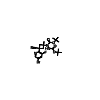 CC(C)(C)OC(=O)NN(C(=O)OC(C)(C)C)C1(C)CC(C#N)(c2ncc(Br)cc2F)C1